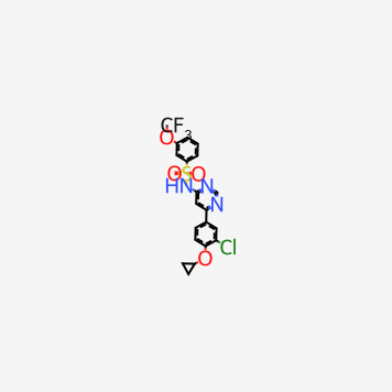 O=S(=O)(Nc1cc(-c2ccc(OC3CC3)c(Cl)c2)ncn1)c1cccc(OC(F)(F)F)c1